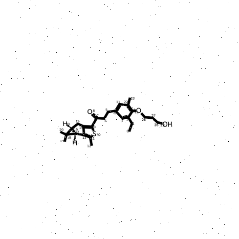 CCc1cc(CCC(=O)c2sc(C)c3c2C[C@@H]2[C@H]3C2(C)C)cc(C)c1OCCCO